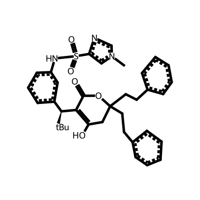 Cn1cnc(S(=O)(=O)Nc2cccc([C@@H](C3=C(O)CC(CCc4ccccc4)(CCc4ccccc4)OC3=O)C(C)(C)C)c2)c1